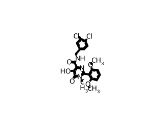 COc1cccc(OC)c1-c1nc(C(=O)NCc2ccc(Cl)c(Cl)c2)c(O)c(=O)n1C